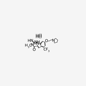 CN(C(=N)N)C(=O)c1cc2c(C(F)(F)F)cc(OCCN3CCCC3)cc2[nH]1.Cl.Cl